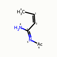 C/C=C\C(N)=N/C(C)=O